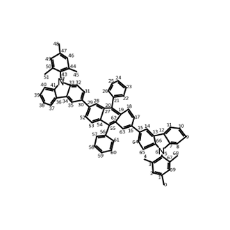 Cc1cc(C)c(-n2c3ccccc3c3cc(-c4ccc5c(-c6ccccc6)c6cc(-c7ccc8c(c7)c7ccccc7n8-c7c(C)cc(C)cc7C)ccc6c(-c6ccccc6)c5c4)ccc32)c(C)c1